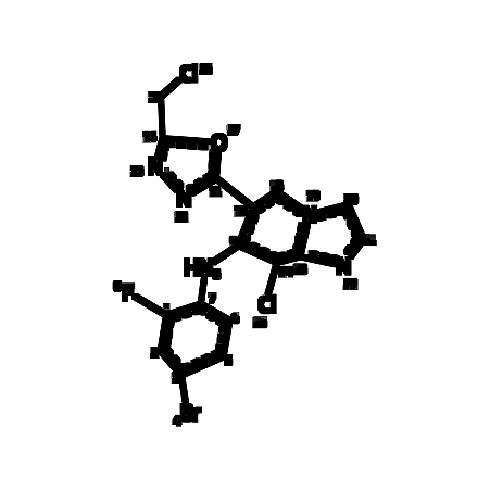 Fc1cc(Br)ccc1Nc1c(-c2nnc(CCl)o2)cn2ccnc2c1Cl